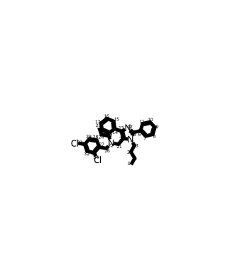 CCCCn1c(-c2ccccc2)nc(-c2ccccc2)c1CN(CCC)Cc1ccc(Cl)cc1Cl